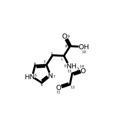 NC(Cc1c[nH]cn1)C(=O)O.O=CC=O